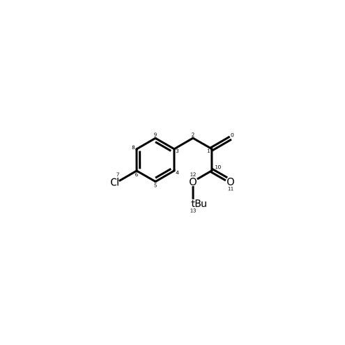 C=C(Cc1ccc(Cl)cc1)C(=O)OC(C)(C)C